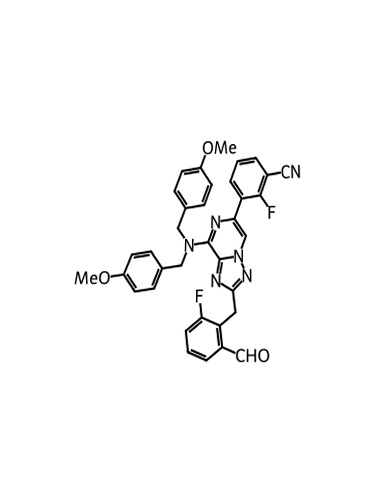 COc1ccc(CN(Cc2ccc(OC)cc2)c2nc(-c3cccc(C#N)c3F)cn3nc(Cc4c(F)cccc4C=O)nc23)cc1